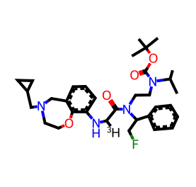 [3H]C(Nc1cccc2c1OCCN(CC1CC1)C2)C(=O)N(CCN(C(=O)OC(C)(C)C)C(C)C)C(CF)c1ccccc1